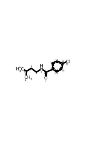 CC(C)CCNC(=O)c1ccc(Cl)cc1